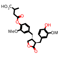 COc1cc(C[C@H]2C(=O)OC[C@@H]2Cc2ccc(OC(=O)CC(C)C(=O)O)c(OC)c2)ccc1O